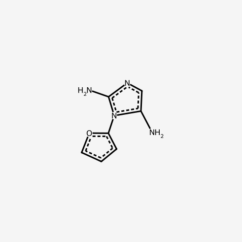 Nc1cnc(N)n1-c1ccco1